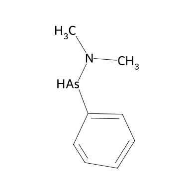 CN(C)[AsH]c1ccccc1